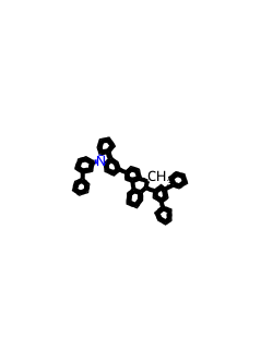 CC1c2ccc(-c3ccc4c(c3)c3ccccc3n4-c3cccc(-c4ccccc4)c3)cc2-c2ccccc2C1c1cc(-c2ccccc2)cc(-c2ccccc2)c1